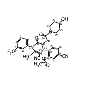 [C-]#[N+]C1=C(C)N(c2cccc(C(F)(F)F)c2)C(=O)N(CC(=O)N2CCC(O)CC2)[C@@H]1c1ccc(C#N)cc1S(C)(=O)=O